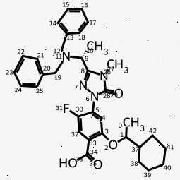 CC(Oc1cc(-n2nc([C@@H](C)N(Cc3ccccc3)Cc3ccccc3)n(C)c2=O)c(F)cc1C(=O)O)C1CCCCC1